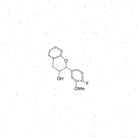 COc1cc(C2Oc3ccccc3CC2O)ccc1F